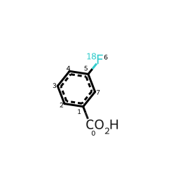 O=C(O)c1cccc([18F])c1